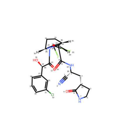 N#C[C@@H](C[C@@H]1CCNC1=O)NC(=O)[C@H]1[C@H]2CC[C@H](CC2(F)F)N1C(=O)[C@H](O)c1cccc(Cl)c1